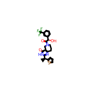 O=C([C@H](O)c1cccc(C(F)(F)F)c1)N1CCCc2nc(C3(c4cccs4)CC3)[nH]c(=O)c2C1